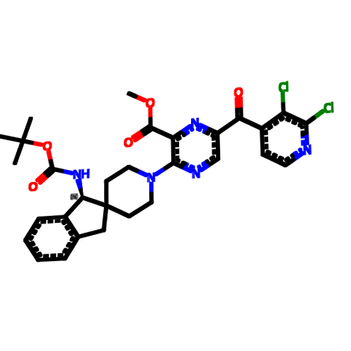 COC(=O)c1nc(C(=O)c2ccnc(Cl)c2Cl)cnc1N1CCC2(CC1)Cc1ccccc1[C@H]2NC(=O)OC(C)(C)C